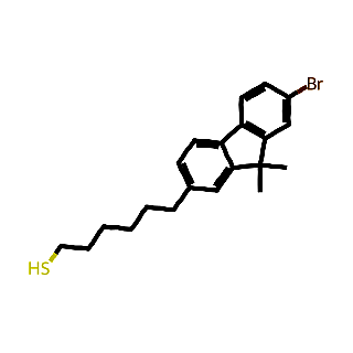 CC1(C)c2cc(Br)ccc2-c2ccc(CCCCCCS)cc21